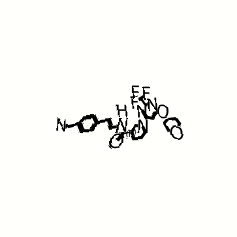 N#Cc1ccc(CCNC(=O)[C@@H]2CCCN(c3cc(OC4CCOCC4)nc(C(F)(F)F)n3)C2)cc1